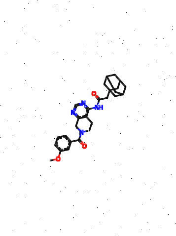 COc1cccc(C(=O)N2CCc3c(ncnc3NC(=O)CC34CC5CC(CC(C5)C3)C4)C2)c1